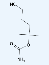 CC(C)(CCCC#N)OC(N)=O